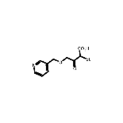 CCC(C(=O)O)C(=O)COCc1cccnc1